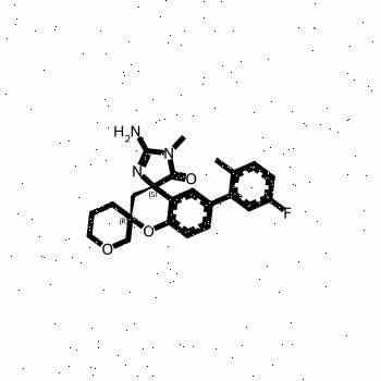 Cc1ccc(F)cc1-c1ccc2c(c1)[C@]1(C[C@@]3(CCCOC3)O2)N=C(N)N(C)C1=O